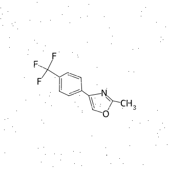 Cc1nc(-c2ccc(C(F)(F)F)cc2)co1